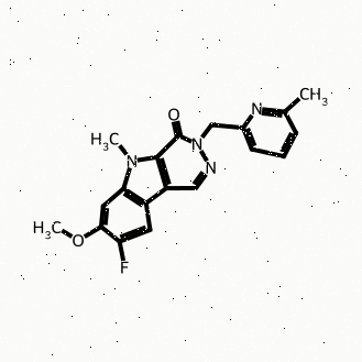 COc1cc2c(cc1F)c1cnn(Cc3cccc(C)n3)c(=O)c1n2C